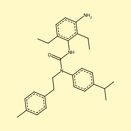 CCc1ccc(N)c(CC)c1NC(=O)N(CCc1ccc(C)cc1)c1ccc(C(C)C)cc1